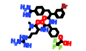 CN(C)C(=O)C(CCCNC(=N)N)NC(=O)C(NC(=O)C(Cc1ccc(C(=N)N)cc1)c1cccc(Br)c1)C1CCCCC1.O=C(O)C(F)(F)F